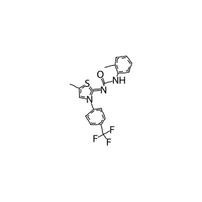 Cc1cn(-c2ccc(C(F)(F)F)cc2)c(=NC(=O)Nc2ccccc2C)s1